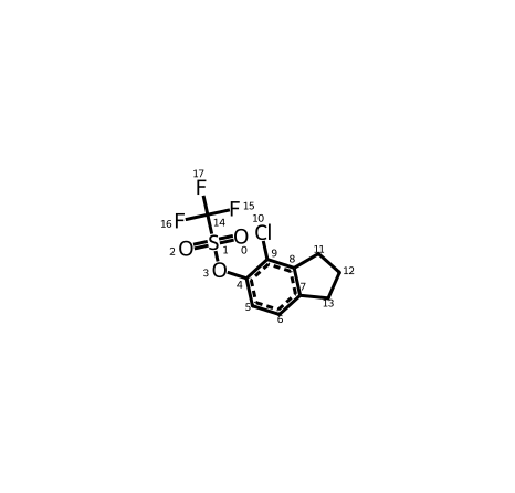 O=S(=O)(Oc1ccc2c(c1Cl)CCC2)C(F)(F)F